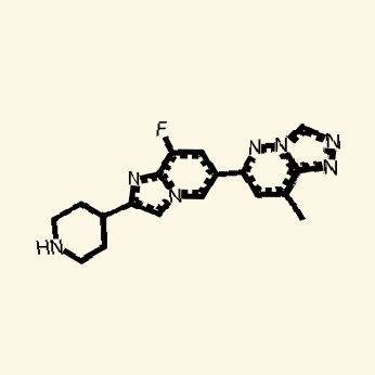 Cc1cc(-c2cc(F)c3nc(C4CCNCC4)cn3c2)nn2cnnc12